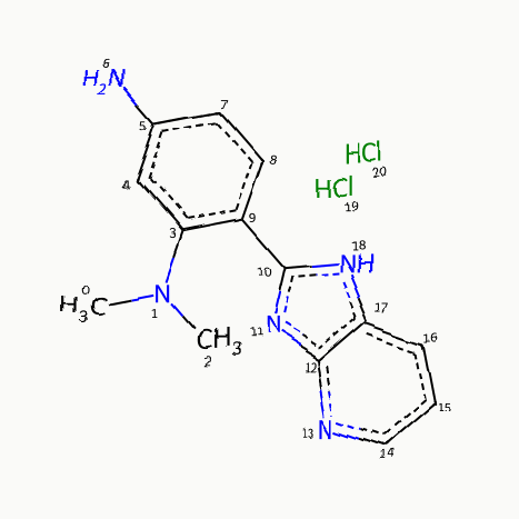 CN(C)c1cc(N)ccc1-c1nc2ncccc2[nH]1.Cl.Cl